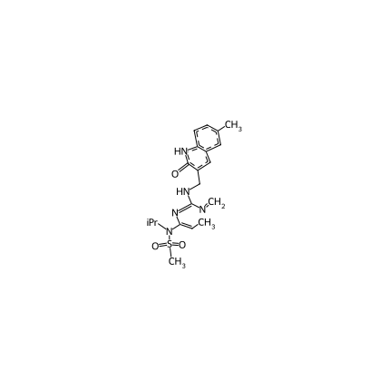 C=N/C(=N\C(=C/C)N(C(C)C)S(C)(=O)=O)NCc1cc2cc(C)ccc2[nH]c1=O